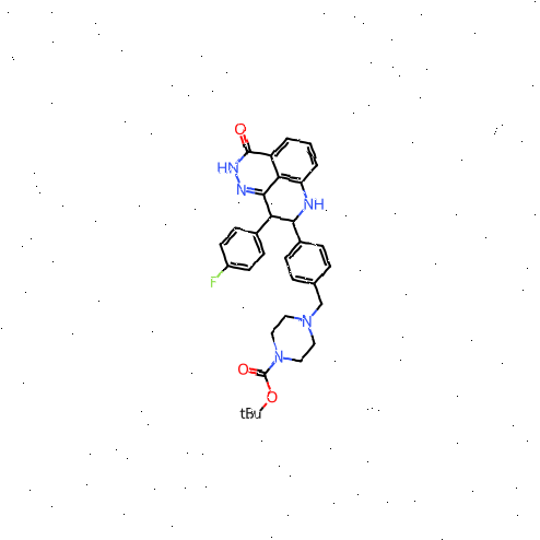 CC(C)(C)OC(=O)N1CCN(Cc2ccc(C3Nc4cccc5c(=O)[nH]nc(c45)C3c3ccc(F)cc3)cc2)CC1